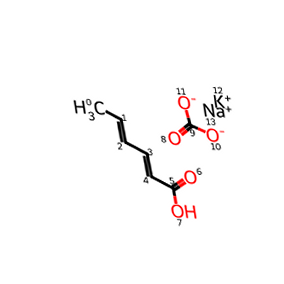 C/C=C/C=C/C(=O)O.O=C([O-])[O-].[K+].[Na+]